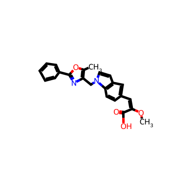 CO/C(=C/c1ccc2c(ccn2Cc2nc(-c3ccccc3)oc2C)c1)C(=O)O